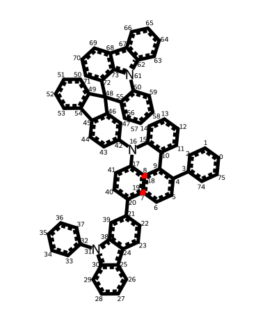 c1ccc(-c2ccccc2-c2ccccc2N(c2ccc(-c3ccc4c5ccccc5n(-c5ccccc5)c4c3)cc2)c2ccc3c(c2)C2(c4ccccc4-3)c3ccccc3-n3c4ccccc4c4cccc2c43)cc1